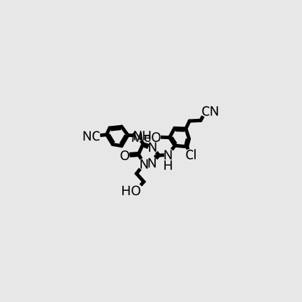 COc1cc(CCC#N)cc(Cl)c1Nc1nc(Nc2ccc(C#N)cc2)c(=O)n(CCO)n1